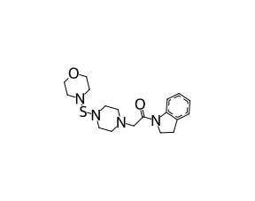 O=C(CN1CCN(SN2CCOCC2)CC1)N1CCc2ccccc21